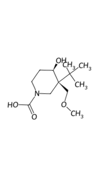 COC[C@@]1(C(C)(C)C)CN(C(=O)O)CC[C@H]1O